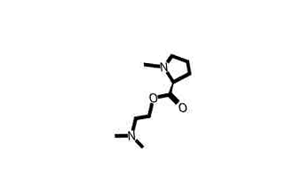 CN(C)CCOC(=O)[C@@H]1CCCN1C